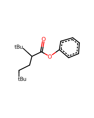 CC(C)(C)CCC(C(=O)Oc1ccccc1)C(C)(C)C